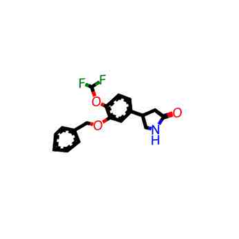 O=C1CC(c2ccc(OC(F)F)c(OCc3ccccc3)c2)CN1